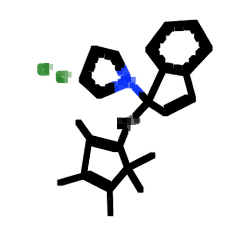 CC1=C(C)C(C)(C)[C]([Hf+2][C]2(n3cccc3)C=Cc3ccccc32)=C1C.[Cl-].[Cl-]